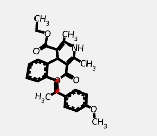 CCOC(=O)C1=C(C)NC(C)=C(C(=O)OCC)C1c1ccccc1/C=C/c1ccc(OC)cc1